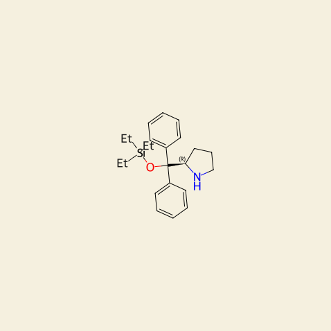 CC[Si](CC)(CC)OC(c1ccccc1)(c1ccccc1)[C@H]1CCCN1